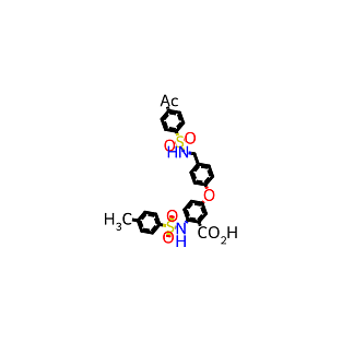 CC(=O)c1ccc(S(=O)(=O)NCc2ccc(Oc3ccc(NS(=O)(=O)c4ccc(C)cc4)c(C(=O)O)c3)cc2)cc1